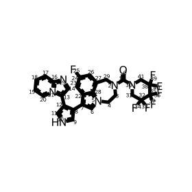 O=C(N1CCn2cc(-c3c[nH]cc3-c3cnc4ccccn34)c3cc(F)cc(c32)C1)N1CC(F)(F)C(F)(F)C(F)(F)C1